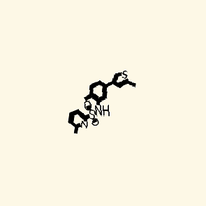 Cc1cccc(S(=O)(=O)Nc2cc(-c3csc(C)c3)ccc2C)n1